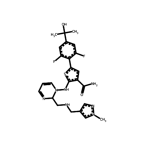 Cn1cc(CNCC2N=CC=CN2Nc2sc(-c3c(F)cc(C(C)(C)O)cc3F)cc2C(N)=O)cn1